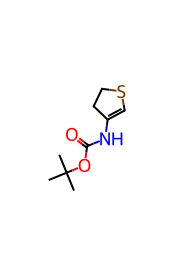 CC(C)(C)OC(=O)NC1=CSCC1